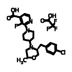 C[C@H]1CN(C2CCN(c3nccc(C(=O)O)c3F)CC2)[C@@H](Cc2ccc(Cl)cc2)CO1.O=C(O)C(F)(F)F